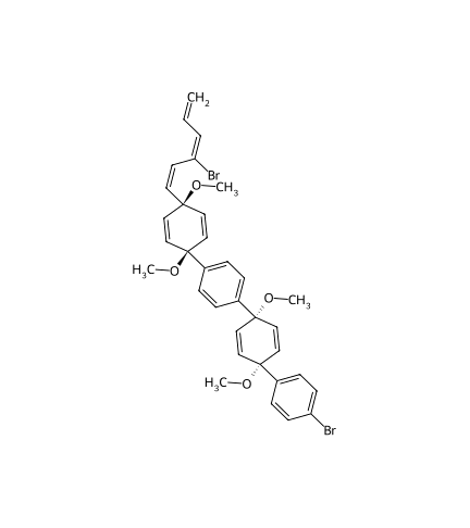 C=C/C=C(Br)\C=C/[C@]1(OC)C=C[C@](OC)(c2ccc([C@]3(OC)C=C[C@](OC)(c4ccc(Br)cc4)C=C3)cc2)C=C1